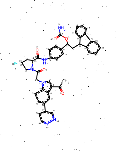 CC(=O)c1cn(CC(=O)N2C[C@H](F)C[C@H]2C(=O)Nc2ccc(C(CC3c4ccccc4-c4ccccc43)OC(N)=O)cc2)c2ccc(-c3ccnnc3)cc12